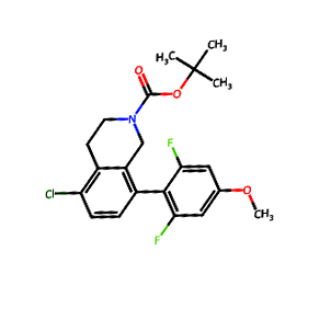 COc1cc(F)c(-c2ccc(Cl)c3c2CN(C(=O)OC(C)(C)C)CC3)c(F)c1